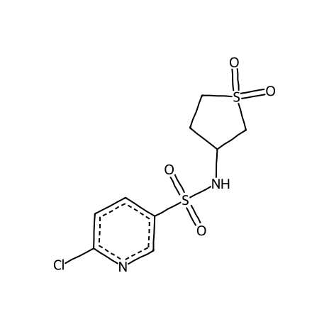 O=S1(=O)CCC(NS(=O)(=O)c2ccc(Cl)nc2)C1